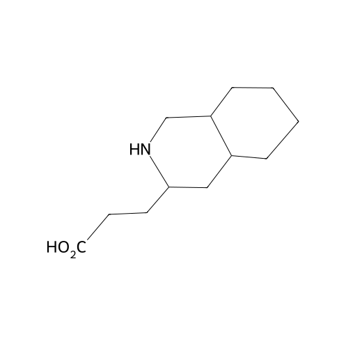 O=C(O)CCC1CC2CCCCC2CN1